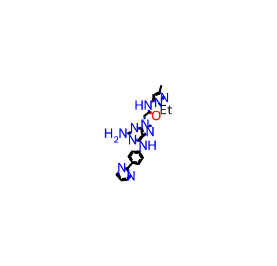 CCn1nc(C)cc1NC(=O)Cn1cnc2c(Nc3ccc(-c4ncccn4)cc3)nc(N)nc21